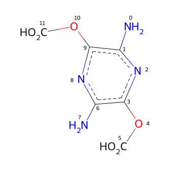 Nc1nc(OC(=O)O)c(N)nc1OC(=O)O